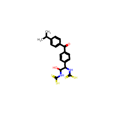 CC(C)c1ccc(C(=O)c2ccc(C(NC(=S)S)C(O)NC(=S)S)cc2)cc1